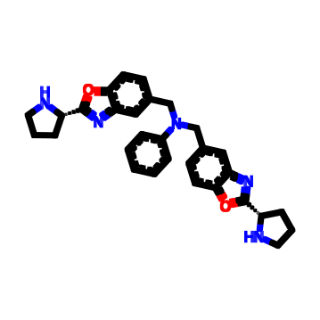 c1ccc(N(Cc2ccc3oc([C@@H]4CCCN4)nc3c2)Cc2ccc3oc([C@@H]4CCCN4)nc3c2)cc1